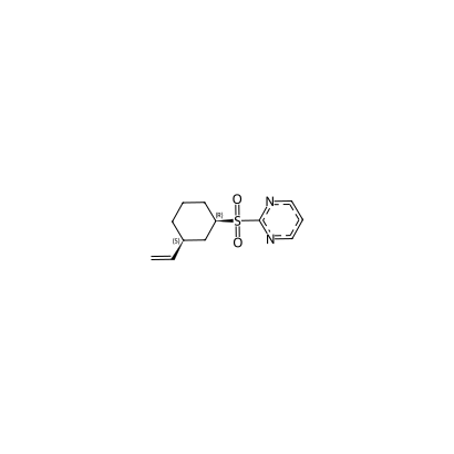 C=C[C@H]1CCC[C@@H](S(=O)(=O)c2ncccn2)C1